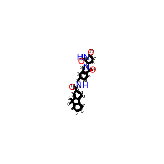 CC1(C)c2ccccc2-c2ccc(C(=O)NCc3ccc4c(c3)CN(C3CCC(=O)NC3=O)C4=O)cc21